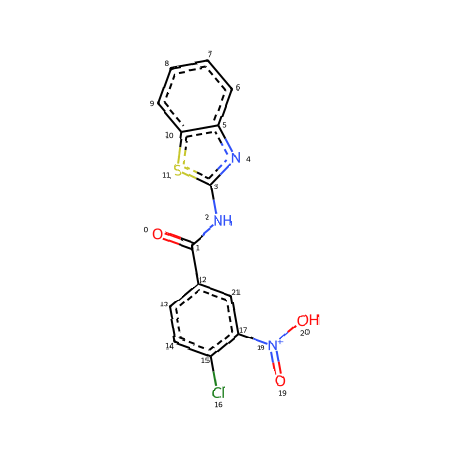 O=C(Nc1nc2ccccc2s1)c1ccc(Cl)c([N+](=O)O)c1